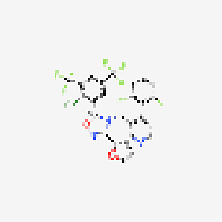 Fc1cccc(F)c1-c1ccncc1CN1C(c2ccco2)=NO[C@@H]1c1cc(C(F)(F)F)cc(C(F)(F)F)c1Cl